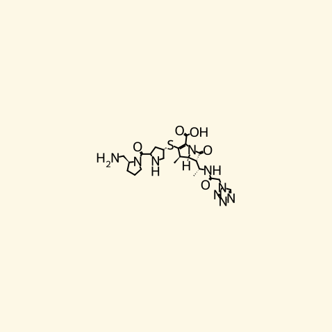 C[C@@H](NC(=O)Cn1cnnn1)[C@H]1C(=O)N2C(C(=O)O)=C(S[C@@H]3CNC(C(=O)N4CCC[C@H]4CN)C3)[C@H](C)[C@H]12